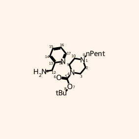 CCCCCN1CCN(C(=O)OC(C)(C)C)CC1.NCc1ccccn1